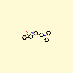 O=C1c2ccccc2-c2ccc3c([nH]c4ccc(-c5ccc(N6c7ccccc7Sc7ccccc76)cc5)cc43)c21